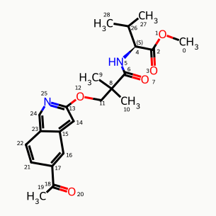 COC(=O)[C@@H](NC(=O)C(C)(C)COc1cc2cc(C(C)=O)ccc2cn1)C(C)C